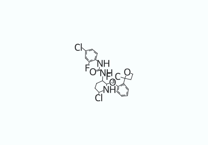 O=C(Nc1ccc(Cl)cc1F)NC1CCC(Cl)NC1Oc1ccccc1C1(C(F)(F)F)CCO1